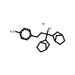 Cc1ccc(CCC(S)(C2CC3CCC2C3)C2CC3CCC2C3)cc1.I